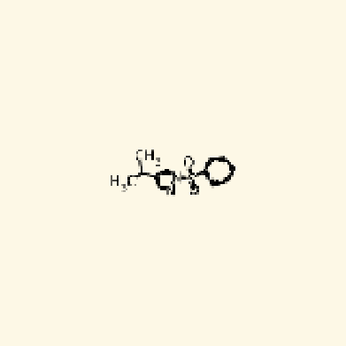 CC(C)c1cnn(S(=O)(=O)c2ccccc2)c1